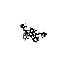 CC1CC(N(C(=O)C=Cc2ccco2)c2ccccc2)c2ccccc2N1C(=O)C=Cc1ccco1